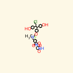 CN(CCOc1ccc(C(=C(CCCl)c2ccc(O)cc2)c2ccc(O)cc2)cc1)Cc1cc2c(cc1F)C(=O)N(C1CCC(=O)NC1=O)C2=O